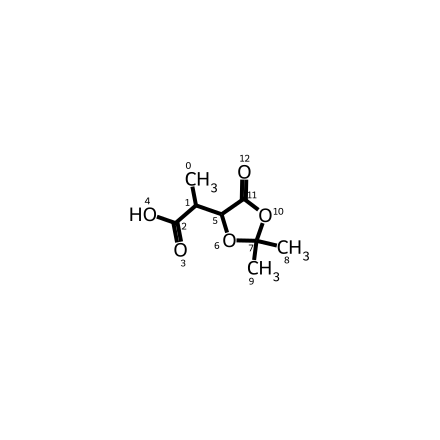 CC(C(=O)O)C1OC(C)(C)OC1=O